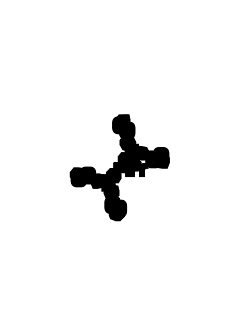 CC(C)CC(C)(c1ccc(N(c2ccc(COC3CCCCO3)cc2)c2ccc(COC3CCCCO3)cc2)cc1)c1ccc(N(c2ccc(COC3CCCCO3)cc2)c2ccc(COC3CCCCO3)cc2)cc1